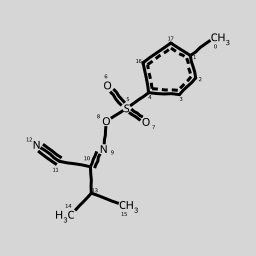 Cc1ccc(S(=O)(=O)O/N=C(\C#N)C(C)C)cc1